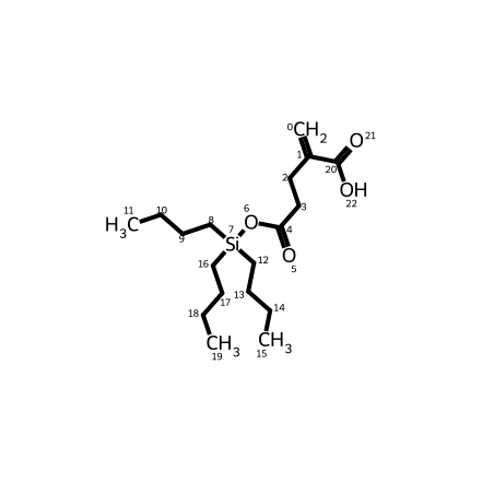 C=C(CCC(=O)O[Si](CCCC)(CCCC)CCCC)C(=O)O